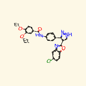 CCOc1ccc(C(=O)Nc2ccc(-c3n[nH]cc3-c3nc4cc(Cl)ccc4o3)cc2)cc1OCC